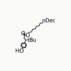 CCCCCCCCCCCCCCCCCCOC(=O)CC(c1ccc(O)cc1)C(C)(C)C